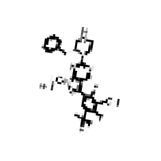 Cl.Cn1nc(-c2cc(C(F)(F)F)c(F)c(O)c2F)c2cnc(N3CCNC[C@H]3Cc3ccccc3)nc21